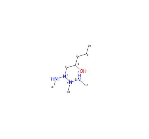 CCCC(O)CN(NC)N(C)NC